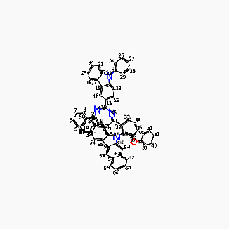 CC1=C(c2ccccc2)N=C(c2ccc3c(c2)c2ccccc2n3-c2ccccc2)N=C(c2ccc3c(oc4ccccc43)c2-n2c3cc4ccccc4cc3c3cc4ccccc4cc32)C1